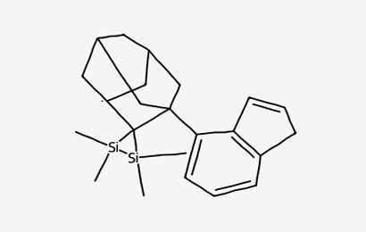 C[Si]1(C)C2([C]3CC4CC(C3)CC2(c2cccc3c2C=CC3)C4)[Si]1(C)C